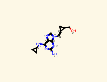 Nc1nc(NC2CC2)c2ncn(C=C3CC3CO)c2n1